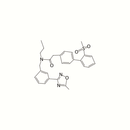 CCCN(Cc1cccc(-c2noc(C)n2)c1)C(=O)Cc1ccc(-c2ccccc2S(C)(=O)=O)cc1